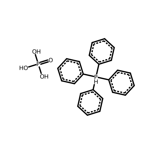 O=P(O)(O)O.c1ccc([PH](c2ccccc2)(c2ccccc2)c2ccccc2)cc1